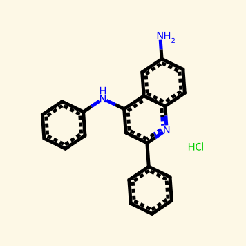 Cl.Nc1ccc2nc(-c3ccccc3)cc(Nc3ccccc3)c2c1